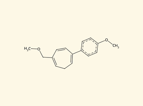 COCC1=CCC=C(c2ccc(OC)cc2)C=C1